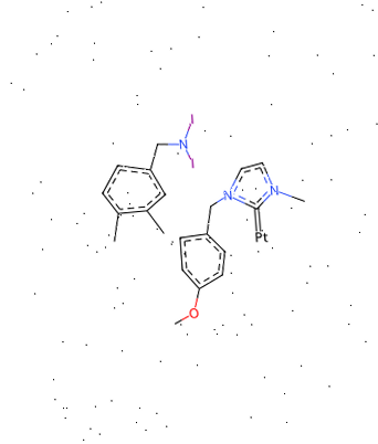 COc1ccc(Cn2ccn(C)[c]2=[Pt])cc1.Cc1ccc(CN(I)I)cc1C